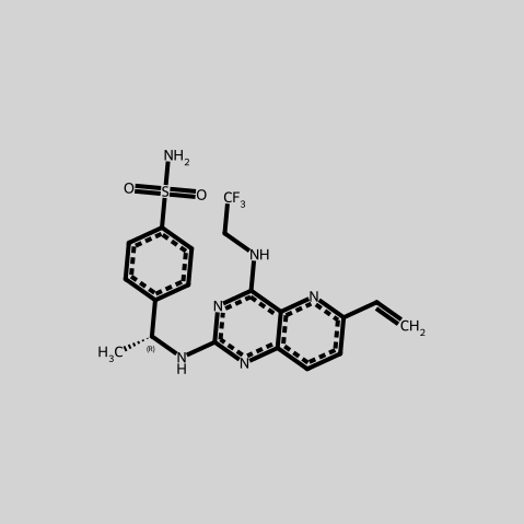 C=Cc1ccc2nc(N[C@H](C)c3ccc(S(N)(=O)=O)cc3)nc(NCC(F)(F)F)c2n1